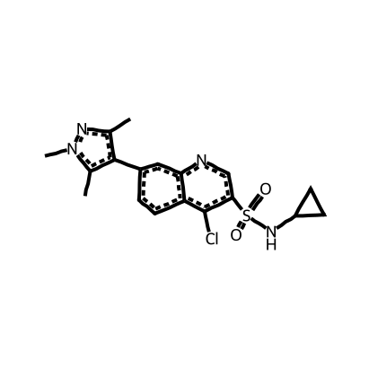 Cc1nn(C)c(C)c1-c1ccc2c(Cl)c(S(=O)(=O)NC3CC3)cnc2c1